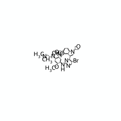 COc1cc(N(C)CCN(C)C)c([N+](=O)[O-])cc1Nc1ncc(Br)c(-c2cn(C3COC3)c3ccccc23)n1